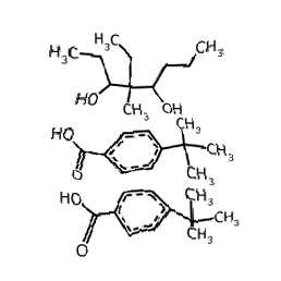 CC(C)(C)c1ccc(C(=O)O)cc1.CC(C)(C)c1ccc(C(=O)O)cc1.CCCC(O)C(C)(CC)C(O)CC